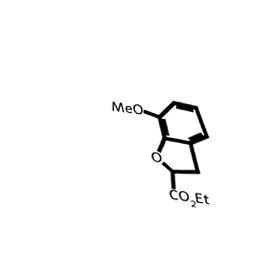 CCOC(=O)C1Cc2cccc(OC)c2O1